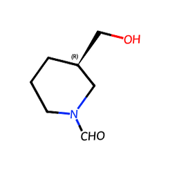 O=CN1CCC[C@@H](CO)C1